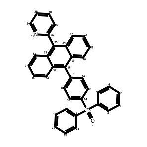 O=P(c1ccccc1)(c1ccccc1)c1ccc(-c2c3ccccc3c(-c3ccccn3)c3ccccc23)cc1